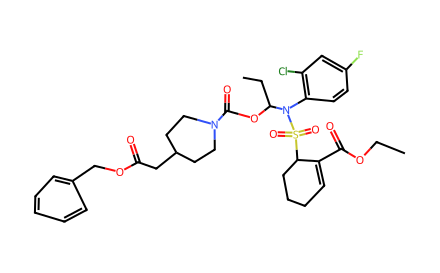 CCOC(=O)C1=CCCCC1S(=O)(=O)N(c1ccc(F)cc1Cl)C(CC)OC(=O)N1CCC(CC(=O)OCc2ccccc2)CC1